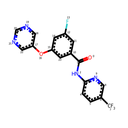 O=C(Nc1ccc(C(F)(F)F)cn1)c1cc(F)cc(Oc2cncnc2)c1